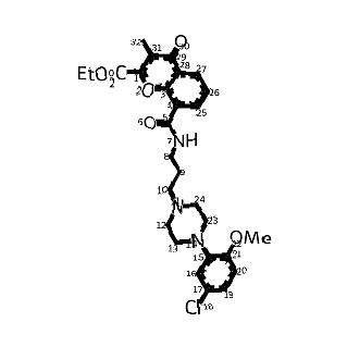 CCOC(=O)c1oc2c(C(=O)NCCCN3CCN(c4cc(Cl)ccc4OC)CC3)cccc2c(=O)c1C